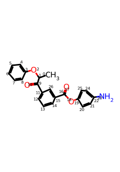 CC(Oc1ccccc1)C(=O)c1cccc(C(=O)Oc2ccc(N)cc2)c1